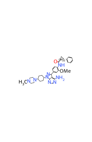 COc1cc(-c2nn(C3CCC(N4CCN(C)CC4)CC3)c3ncnc(N)c23)ccc1NC(=O)[C@H]1C[C@@H]1c1ccccc1